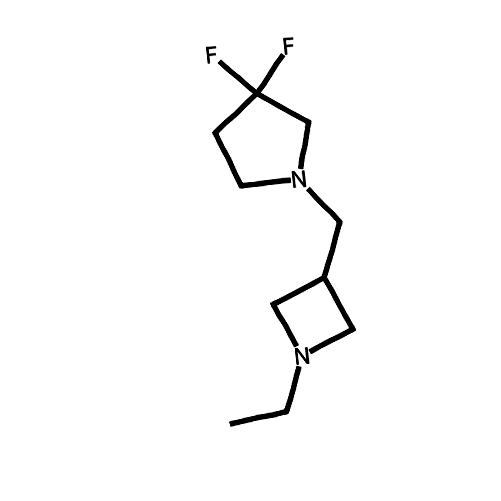 CCN1CC(CN2CCC(F)(F)C2)C1